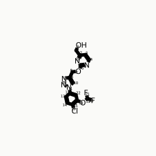 OCc1ccnc(OCc2cn(-c3ccc(Cl)c(OC(F)F)c3)nn2)n1